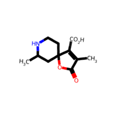 CC1=C(C(=O)O)C2(CCNC(C)C2)OC1=O